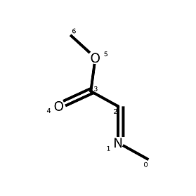 CN=CC(=O)OC